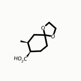 C[C@H]1CC2(CC[C@H]1C(=O)O)OCCO2